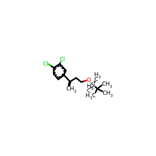 C=C(CCO[Si](C)(C)C(C)(C)C)c1ccc(Cl)c(Cl)c1